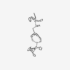 CS(=O)(=O)NCc1ccc(S(=O)(=O)Cl)cc1